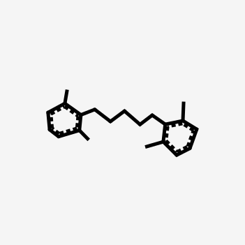 Cc1cccc(C)c1CCCCCc1c(C)cccc1C